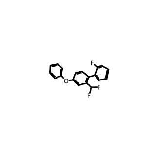 Fc1ccccc1-c1ccc(Oc2ccccc2)cc1C(F)F